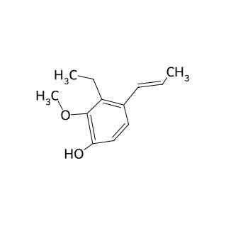 CC=Cc1ccc(O)c(OC)c1CC